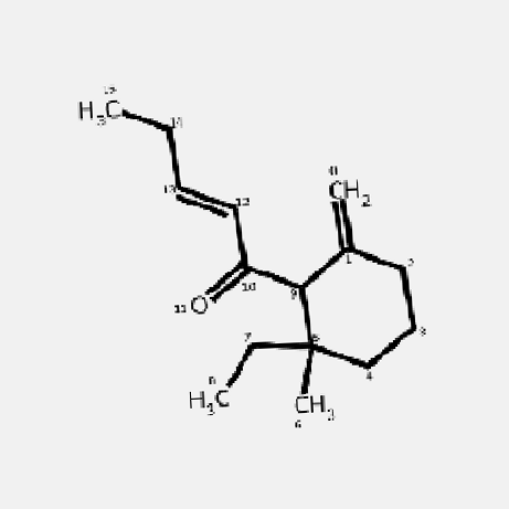 C=C1CCCC(C)(CC)C1C(=O)C=CCC